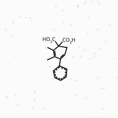 CC1=C(C)C(C(=O)O)(C(=O)O)CC=C1c1ccccc1